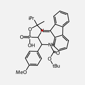 COc1ccc(C(NC(=O)OC(C)(C)C)C(N=C2c3ccccc3-c3ccccc32)P(=O)(O)OC(C)(C)C(C)C)cc1